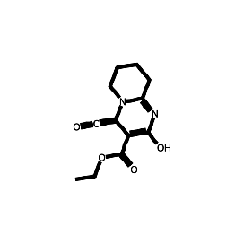 CCOC(=O)C1=C(O)N=C2CCCCN2C1=C=O